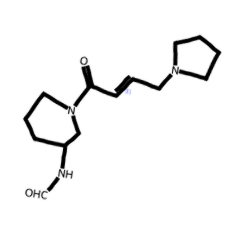 O=CNC1CCCN(C(=O)/C=C/CN2CCCC2)C1